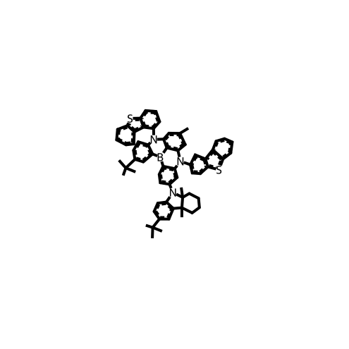 Cc1cc2c3c(c1)N(c1cccc4sc5ccccc5c14)c1ccc(C(C)(C)C)cc1B3c1ccc(N3c4ccc(C(C)(C)C)cc4C4(C)CCCCC34C)cc1N2c1ccc2sc3ccccc3c2c1